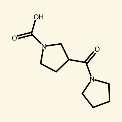 O=C(O)N1CCC(C(=O)N2CCCC2)C1